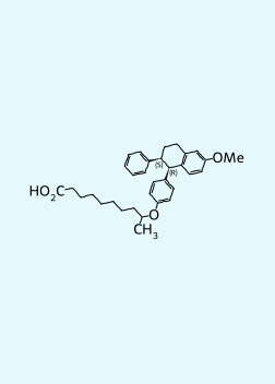 COc1ccc2c(c1)CC[C@H](c1ccccc1)[C@@H]2c1ccc(OC(C)CCCCCCCC(=O)O)cc1